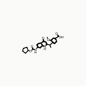 COc1cc(C(=O)O)ccc1C(C)c1cc(=O)c2ccc(NC(=O)OC3CCCC3)cc2[nH]1